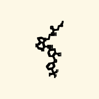 CSCCC(=O)NCCn1ccc2ncnc(Nc3ccc(Oc4cccc(C(F)(F)F)c4)c(Cl)c3)c21